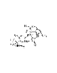 Cc1ccc([C@H](Nc2c(Nc3c(F)cc(Cl)c4c3C(=O)NC4(C)C)c(=O)c2=O)C(C)(C)C)o1